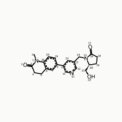 CN1C(=O)CCc2cc(-c3cncc(CN4C(=O)CC[C@H]4CO)c3)ccc21